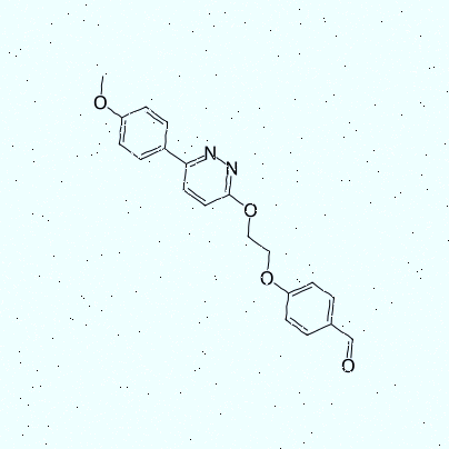 COc1ccc(-c2ccc(OCCOc3ccc(C=O)cc3)nn2)cc1